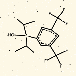 CC(C)[Si](O)(c1cc(C(F)(F)F)cc(C(F)(F)F)c1)C(C)C